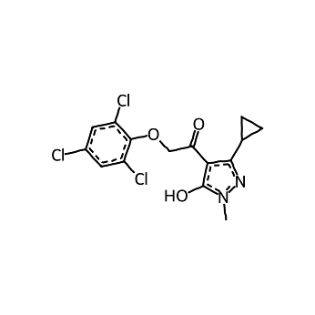 Cn1nc(C2CC2)c(C(=O)COc2c(Cl)cc(Cl)cc2Cl)c1O